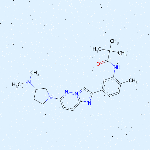 Cc1ccc(-c2cn3nc(N4CCC(N(C)C)C4)ccc3n2)cc1NC(=O)C(C)(C)C